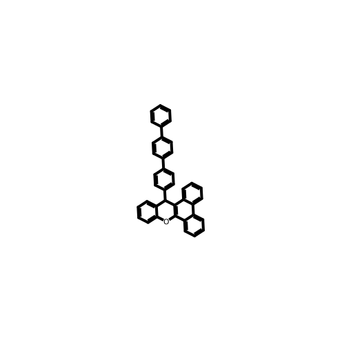 c1ccc(-c2ccc(-c3ccc(C4c5ccccc5Oc5c4c4ccccc4c4ccccc54)cc3)cc2)cc1